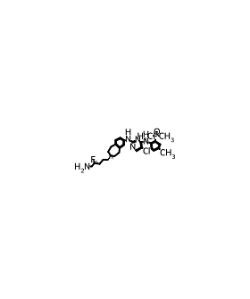 Cc1ccc(Nc2nc(Nc3ccc4c(c3)CC[C@@H](CCC[C@H](F)CN)CC4)ncc2Cl)c(P(C)(C)=O)c1